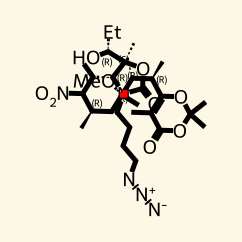 CC[C@@H](O)[C@@]1(C)OC(=O)N(CCCCN=[N+]=[N-])[C@@H]1C(C)C([C@H](C)C[C@@](C)(OC)[C@H](C)[C@@H](C)C1=C(C)C(=O)OC(C)(C)O1)[N+](=O)[O-]